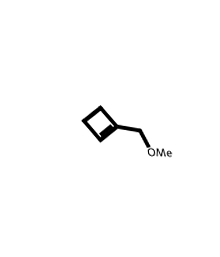 [CH2]OCC1=CCC1